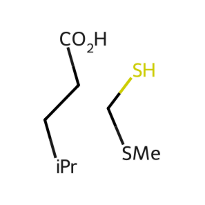 CC(C)CCC(=O)O.CSCS